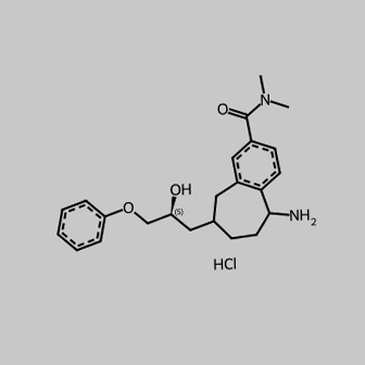 CN(C)C(=O)c1ccc2c(c1)CC(C[C@H](O)COc1ccccc1)CCC2N.Cl